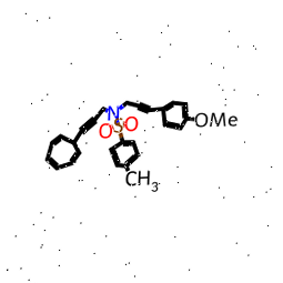 COc1ccc(C#CCN(CC#CC2C=CC=CC=C2)S(=O)(=O)c2ccc(C)cc2)cc1